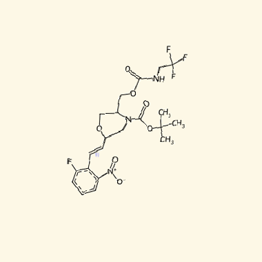 CC(C)(C)OC(=O)N1CC(/C=C/c2c(F)cccc2[N+](=O)[O-])OCC1COC(=O)NCC(F)(F)F